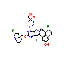 CCc1c(F)ccc2cc(O)cc(-c3ncc4c(N5CCC(O)(CO)CC5)nc(OC[C@@]56CCCN5C[C@H](F)C6)nc4c3F)c12